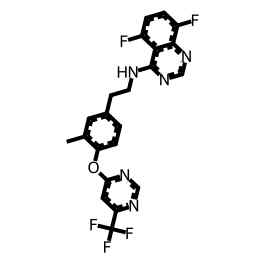 Cc1cc(CCNc2ncnc3c(F)ccc(F)c23)ccc1Oc1cc(C(F)(F)F)ncn1